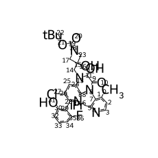 Cc1ccnc(C(C)C)c1N1C(=O)C(O)N(CC2(O)CN(C(=O)OC(C)(C)C)C2)c2cc(Cl)c(-c3c(O)cccc3F)nc21